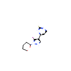 CSc1nccc(-c2cnn(C3CCCCO3)c2I)n1